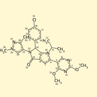 COc1ncc(-c2cc3c(n2C(C)C)C(c2ccc(Cl)cc2)N(c2cn(C)nc2C)C3=O)c(OC)n1